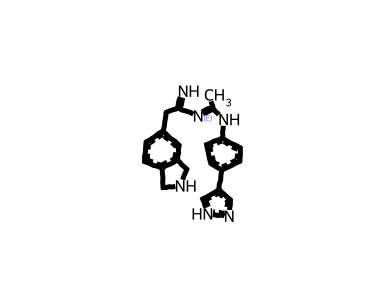 C/C(=N\C(=N)Cc1ccc2c(c1)CNC2)Nc1ccc(-c2cn[nH]c2)cc1